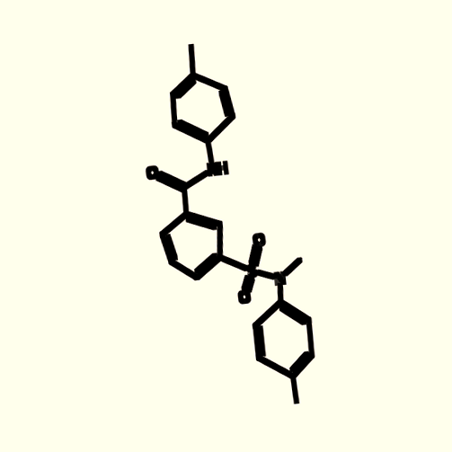 Cc1ccc(NC(=O)c2cccc(S(=O)(=O)N(C)c3ccc(C)cc3)c2)cc1